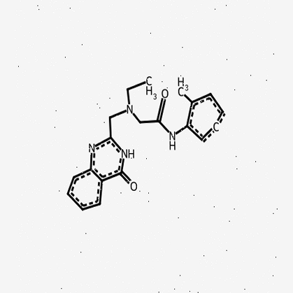 CCN(CC(=O)Nc1ccccc1C)Cc1nc2ccccc2c(=O)[nH]1